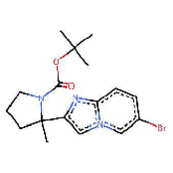 CC(C)(C)OC(=O)N1CCCC1(C)c1cn2cc(Br)ccc2n1